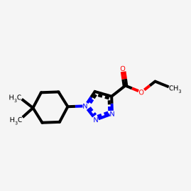 CCOC(=O)c1cn(C2CCC(C)(C)CC2)nn1